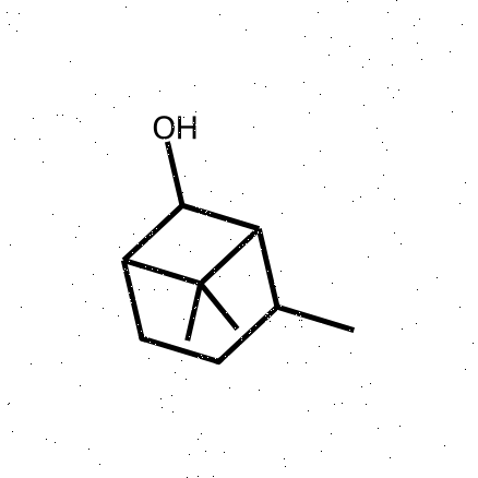 CC1CCC2C(O)C1C2(C)C